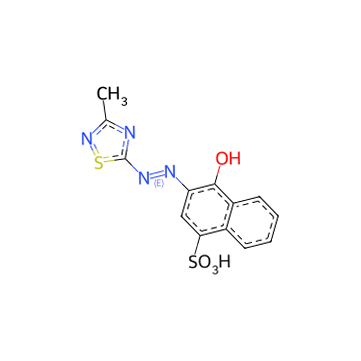 Cc1nsc(/N=N/c2cc(S(=O)(=O)O)c3ccccc3c2O)n1